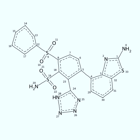 Nc1nc2c(-c3ccc(S(=O)(=O)c4ccccc4)c(S(N)(=O)=O)c3-c3nnn[nH]3)cccc2s1